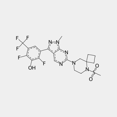 Cn1nc(-c2cc(C(F)(F)F)c(F)c(O)c2F)c2cnc(N3CCN(S(C)(=O)=O)C4(CCC4)C3)nc21